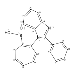 OB(O)C1=C(n2c(-c3ccccc3)nc3ccccc32)C=CC=CC1